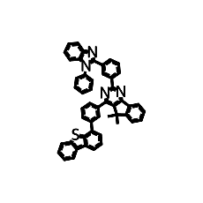 CC1(C)c2ccccc2-c2nc(-c3cccc(-c4nc5ccccc5n4-c4ccccc4)c3)nc(-c3cccc(-c4cccc5c4sc4ccccc45)c3)c21